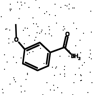 BC(=O)c1cccc(OC)c1